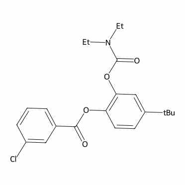 CCN(CC)C(=O)Oc1cc(C(C)(C)C)ccc1OC(=O)c1cccc(Cl)c1